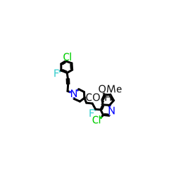 COc1ccc2ncc(Cl)c(C(F)CCC3(C(=O)O)CCN(CC#Cc4ccc(Cl)cc4F)CC3)c2c1